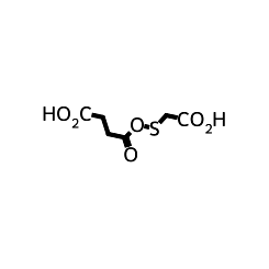 O=C(O)CCC(=O)OSCC(=O)O